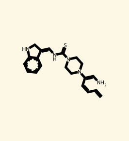 C=C/C=C\C(=C/N)N1CCN(C(=S)N/C=C2/CNc3ccccc32)CC1